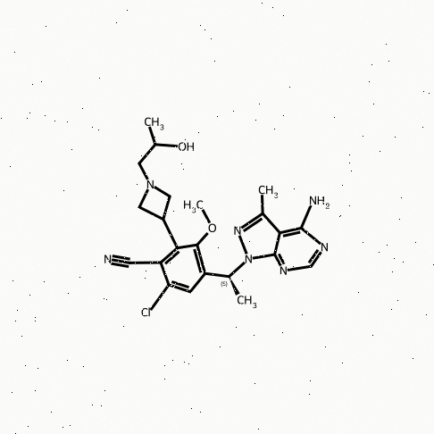 COc1c([C@H](C)n2nc(C)c3c(N)ncnc32)cc(Cl)c(C#N)c1C1CN(CC(C)O)C1